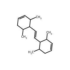 CC1C=CCC(C)C1/C=C/C1C(C)C=CCC1C